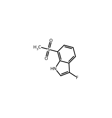 CS(=O)(=O)c1cccc2c(F)c[nH]c12